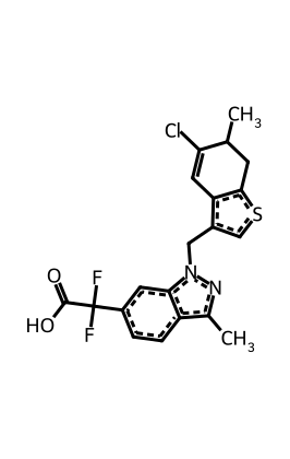 Cc1nn(Cc2csc3c2C=C(Cl)C(C)C3)c2cc(C(F)(F)C(=O)O)ccc12